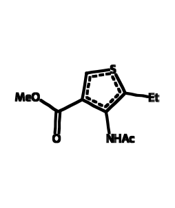 CCc1scc(C(=O)OC)c1NC(C)=O